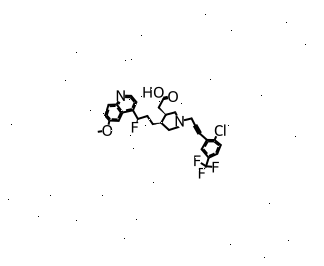 COc1ccc2nccc([C@@H](F)CC[C@@H]3CCN(CC#Cc4cc(C(F)(F)F)ccc4Cl)C[C@@H]3CC(=O)O)c2c1